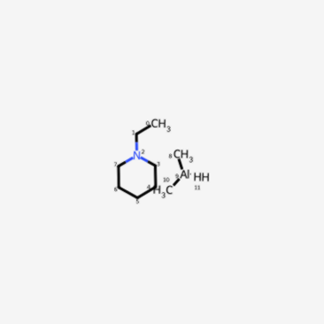 CCN1CCCCC1.[CH3][Al][CH3].[HH]